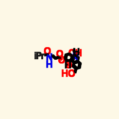 CC(C)C(=O)NCCC(=O)OC1=CC[C@@]2(O)[C@H]3Cc4ccc(CO)c5c4[C@@]2(CCN3C)[C@H]1O5